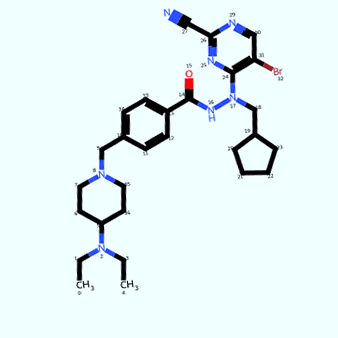 CCN(CC)C1CCN(Cc2ccc(C(=O)NN(CC3CCCC3)c3nc(C#N)ncc3Br)cc2)CC1